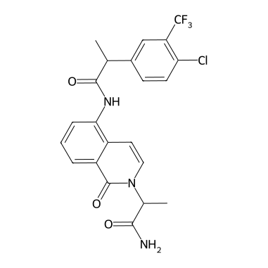 CC(C(=O)Nc1cccc2c(=O)n(C(C)C(N)=O)ccc12)c1ccc(Cl)c(C(F)(F)F)c1